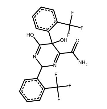 NC(=O)C1=NC(c2ccccc2C(F)(F)F)N=C(O)C1(O)c1ccccc1C(F)(F)F